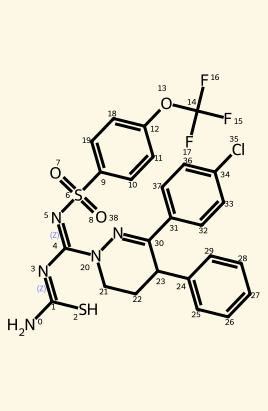 N/C(S)=N/C(=N/S(=O)(=O)c1ccc(OC(F)(F)F)cc1)N1CCC(c2ccccc2)C(c2ccc(Cl)cc2)=N1